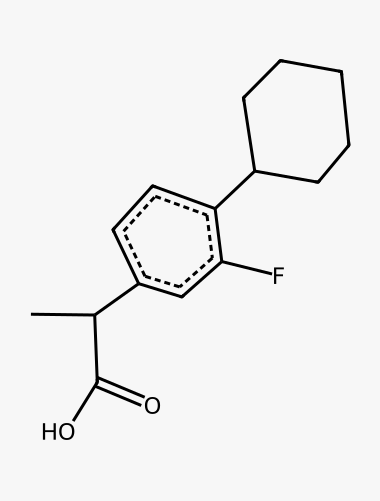 CC(C(=O)O)c1ccc(C2CCCCC2)c(F)c1